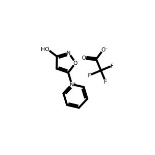 O=C([O-])C(F)(F)F.Oc1cc(-[n+]2ccccc2)on1